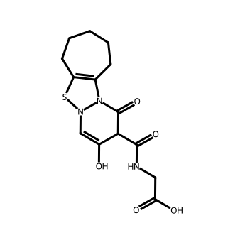 O=C(O)CNC(=O)C1C(=O)N2C3=C(CCCCC3)SN2C=C1O